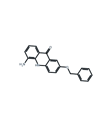 Nc1cccc2c(=O)c3cc(OCc4ccccc4)ccc3[nH]c12